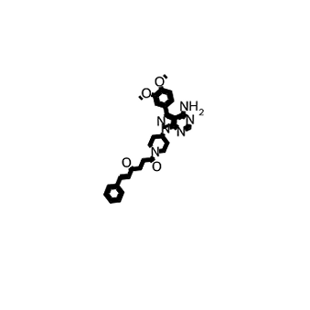 COc1ccc(-c2nn(C3CCN(C(=O)CCC(=O)/C=C/c4ccccc4)CC3)c3ncnc(N)c23)cc1OC